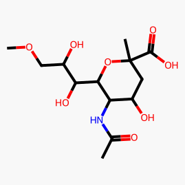 COCC(O)C(O)C1OC(C)(C(=O)O)CC(O)C1NC(C)=O